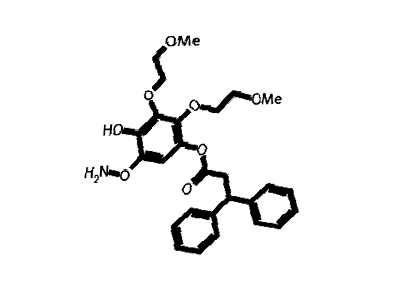 COCCOc1c(OC(=O)CC(c2ccccc2)c2ccccc2)cc(ON)c(O)c1OCCOC